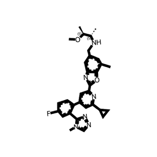 CO[C@@H](C)[C@H](C)NCc1cc(C)c2oc(-c3cc(-c4ccc(F)cc4-c4nncn4C)cc(C4CC4)n3)nc2c1